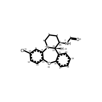 O=CN[C@@H]1CCCN2c3cc(Cl)ccc3Oc3ccccc3[C@@H]12